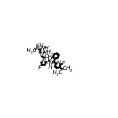 CC(C)c1ccc([C@@H](NC(=O)[C@@H]2C[C@@H](F)CN2C(=O)CN(N)/C=C(\N)N(C)C)c2ccccc2)nc1F